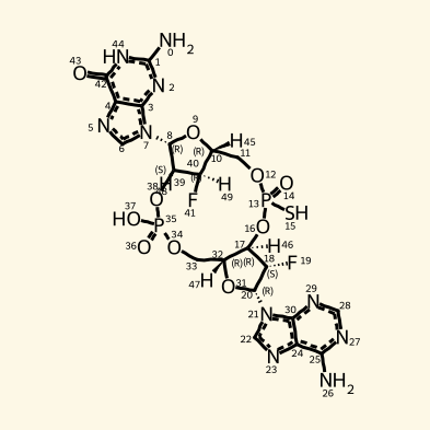 Nc1nc2c(ncn2[C@@H]2O[C@@H]3COP(=O)(S)O[C@H]4[C@H](F)[C@H](n5cnc6c(N)ncnc65)O[C@@H]4COP(=O)(O)O[C@@H]2[C@@H]3F)c(=O)[nH]1